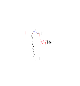 CCCCCCCCCCCCC(O)(O)CN(C)CC.O=P([O-])([O-])[O-].[Na+].[Na+].[Na+]